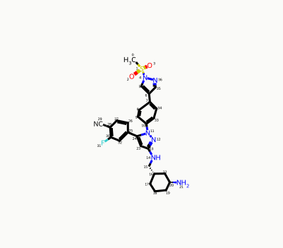 CS(=O)(=O)n1cc(-c2ccc(-n3nc(NC[C@H]4CCC[C@H](N)C4)cc3-c3ccc(C#N)c(F)c3)cc2)cn1